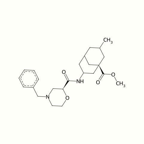 COC(=O)[C@@]12CC(C)CC(CC(NC(=O)[C@@H]3CN(Cc4ccccc4)CCO3)C1)C2